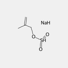 C=C(C)CO[SH](=O)=O.[NaH]